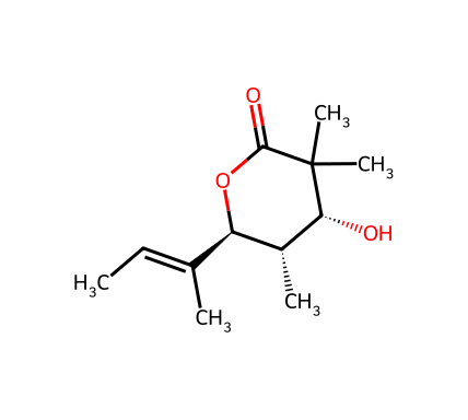 C/C=C(\C)[C@H]1OC(=O)C(C)(C)[C@H](O)[C@@H]1C